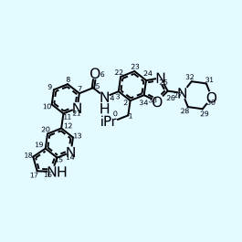 CC(C)Cc1c(NC(=O)c2cccc(-c3cnc4[nH]ccc4c3)n2)ccc2nc(N3CCOCC3)oc12